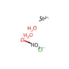 O.O.O=[N+]([O-])[O-].[Cl-].[Sn+2]